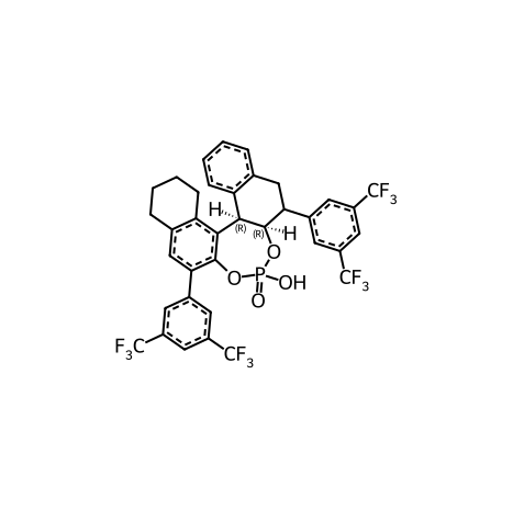 O=P1(O)Oc2c(-c3cc(C(F)(F)F)cc(C(F)(F)F)c3)cc3c(c2[C@H]2c4ccccc4CC(c4cc(C(F)(F)F)cc(C(F)(F)F)c4)[C@H]2O1)CCCC3